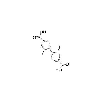 Cc1cc(C(=O)O)ccc1-c1ccc(C(=O)O)cc1I